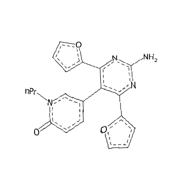 CCCn1cc(-c2c(-c3ccco3)nc(N)nc2-c2ccco2)ccc1=O